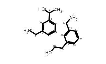 CC(O)c1cccc(CN)c1.NCc1cccc(CCO)c1